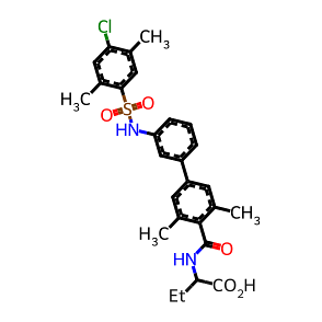 CCC(NC(=O)c1c(C)cc(-c2cccc(NS(=O)(=O)c3cc(C)c(Cl)cc3C)c2)cc1C)C(=O)O